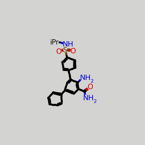 CC(C)NS(=O)(=O)c1ccc(-c2cc(-c3ccccc3)cc(C(N)=O)c2N)cc1